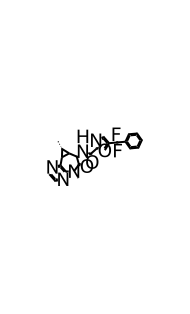 C[C@H]1C2c3nccnc3N(C)C(=O)[C@@H](NC(=O)c3ncc(C(F)(F)c4ccccc4)o3)C21